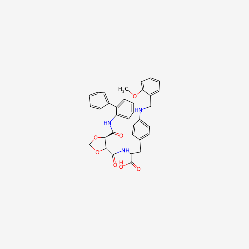 COc1ccccc1CNc1ccc(CC(NC(=O)[C@@H]2OCO[C@H]2C(=O)Nc2ccccc2-c2ccccc2)C(=O)O)cc1